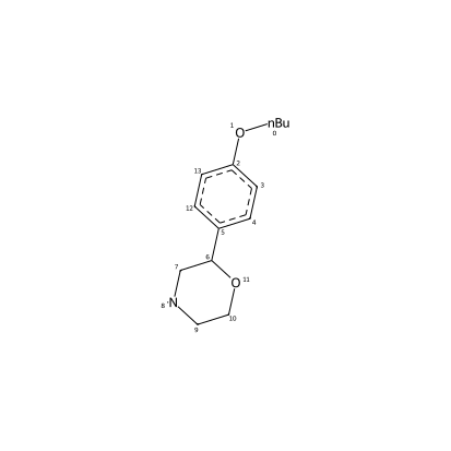 CCCCOc1ccc(C2C[N]CCO2)cc1